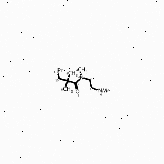 CNCCN(C)C(=O)C(C)(C)CC(C)C